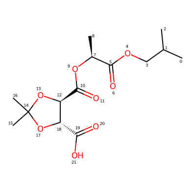 CC(C)COC(=O)[C@H](C)OC(=O)[C@@H]1OC(C)(C)O[C@H]1C(=O)O